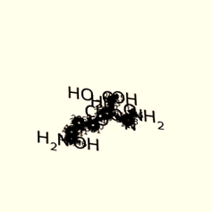 Cc1c(COc2cc(OCc3cncc(C(N)=O)c3)c(CNC(C)(CO)C(=O)O)cc2Cl)cccc1-c1cccc(-c2ccc3c(c2)[C@@H](O)C[C@H]3N)c1C